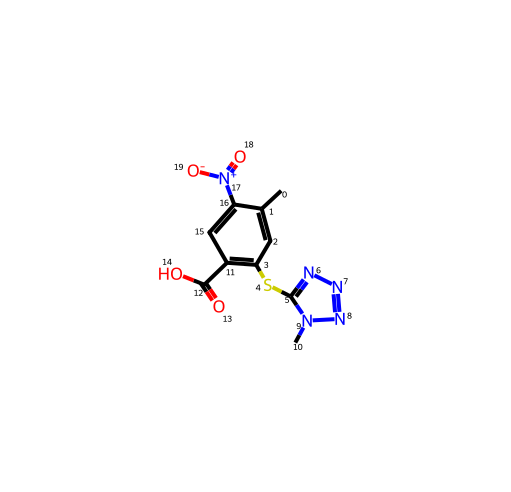 Cc1cc(Sc2nnnn2C)c(C(=O)O)cc1[N+](=O)[O-]